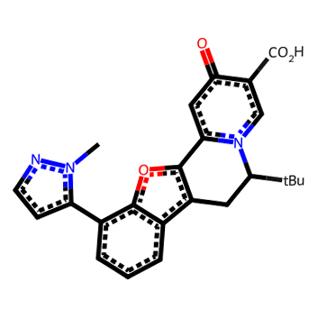 Cn1nccc1-c1cccc2c3c(oc12)-c1cc(=O)c(C(=O)O)cn1C(C(C)(C)C)C3